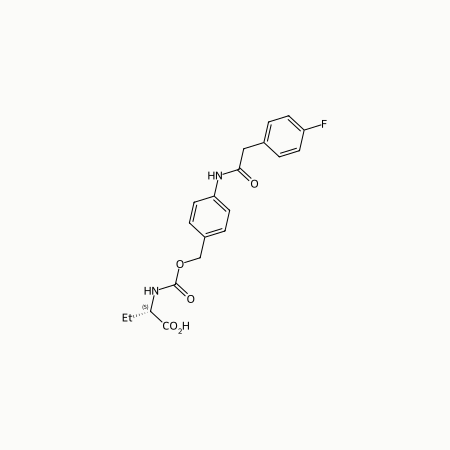 CC[C@H](NC(=O)OCc1ccc(NC(=O)Cc2ccc(F)cc2)cc1)C(=O)O